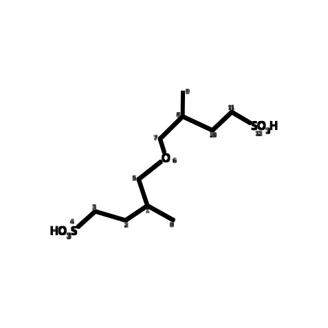 CC(CCS(=O)(=O)O)COCC(C)CCS(=O)(=O)O